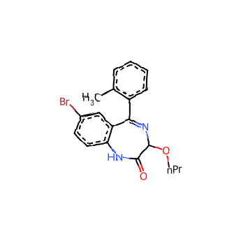 CCCOC1N=C(c2ccccc2C)c2cc(Br)ccc2NC1=O